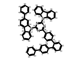 c1ccc(-c2ccc(-c3ccccc3-c3ccc(-c4nc(-n5c6ccccc6c6ccccc65)nc(-n5c6ccccc6c6ccc(-c7ccccc7)cc65)n4)cc3)cc2)cc1